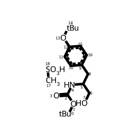 CC(C)(C)OC(=O)NC(CO)Cc1ccc(OC(C)(C)C)cc1.CS(=O)(=O)O